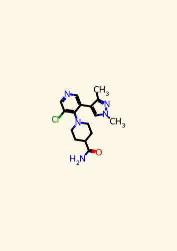 Cc1nn(C)cc1-c1cncc(Cl)c1N1CCC(C(N)=O)CC1